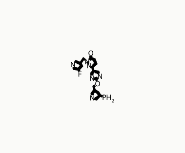 O=c1ccc(-c2cnc(OCc3cncc(P)c3)nc2)nn1Cc1cncc(F)c1